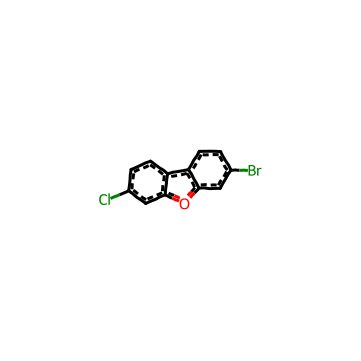 Clc1ccc2c(c1)oc1cc(Br)ccc12